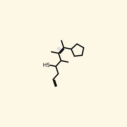 C=CCC(S)C(C)/C(C)=C(/C)C1CCCC1